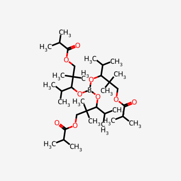 CC(C)C(=O)OCC(C)(C)C(OB(OC(C(C)C)C(C)(C)COC(=O)C(C)C)OC(C(C)C)C(C)(C)COC(=O)C(C)C)C(C)C